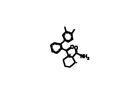 Cc1ccc(-c2ccccc2C(=O)N2CCC[CH]C2C(N)=O)cc1C